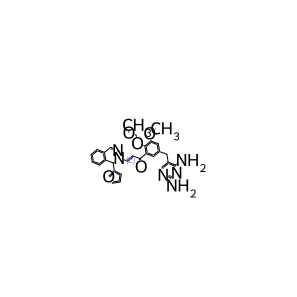 COCOc1c(OC)cc(Cc2cnc(N)nc2N)cc1C(=O)/C=C/N1N=Cc2ccccc2C1c1ccco1